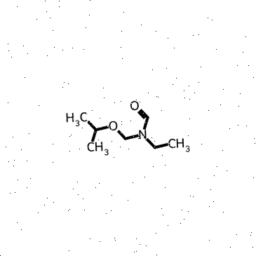 CCN(C=O)COC(C)C